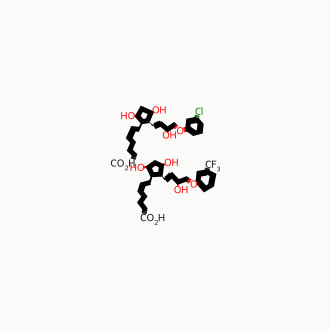 O=C(O)CCC/C=C\C[C@@H]1[C@@H](/C=C/[C@@H](O)COc2cccc(C(F)(F)F)c2)[C@H](O)C[C@@H]1O.O=C(O)CCC/C=C\C[C@@H]1[C@@H](/C=C/[C@@H](O)COc2cccc(Cl)c2)[C@H](O)C[C@@H]1O